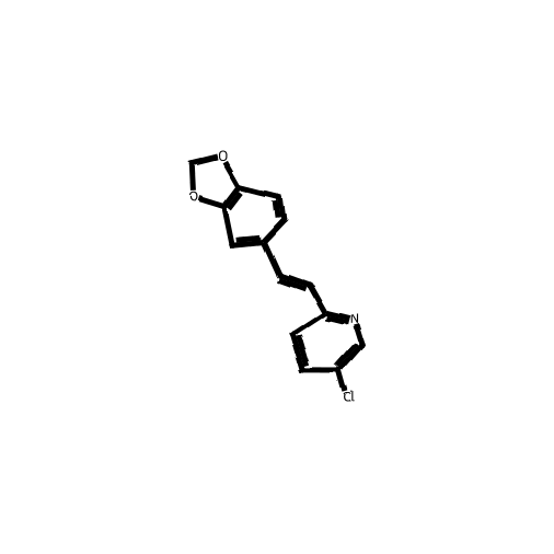 Clc1ccc(/C=C/c2ccc3c(c2)OCO3)nc1